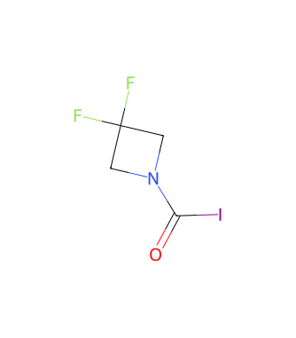 O=C(I)N1CC(F)(F)C1